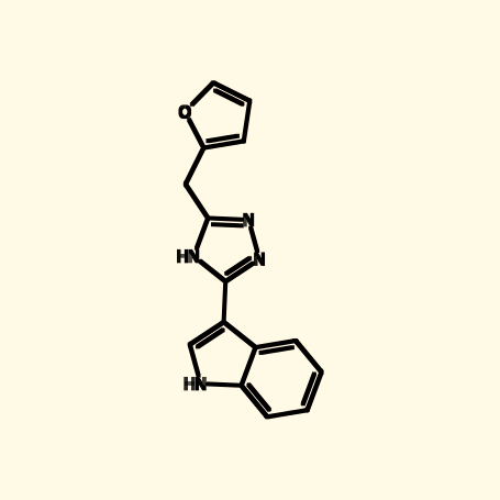 c1coc(Cc2nnc(-c3c[nH]c4ccccc34)[nH]2)c1